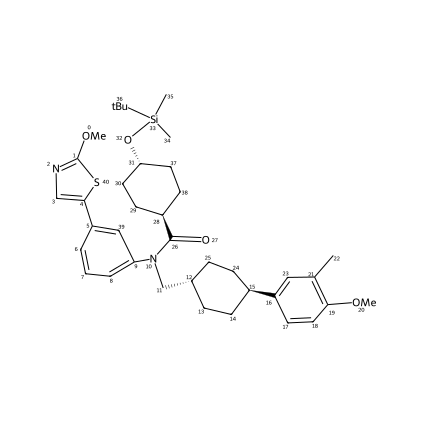 COc1ncc(-c2cccc(N(C[C@H]3CC[C@H](c4ccc(OC)c(C)c4)CC3)C(=O)[C@H]3CC[C@H](O[Si](C)(C)C(C)(C)C)CC3)c2)s1